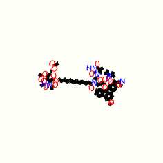 COc1ccc(C(OC[C@]2(COP(OCCC#N)N(C(C)C)C(C)C)CN(C(=O)CCCCCCCCCCCO[C@@H]3O[C@H](COC(C)=O)[C@H](OC(C)=O)[C@H](OC(C)=O)[C@H]3NC(C)=O)C[C@H](n3cc(C)c(=O)[nH]c3=O)O2)(c2ccccc2)c2ccc(OC)cc2)cc1